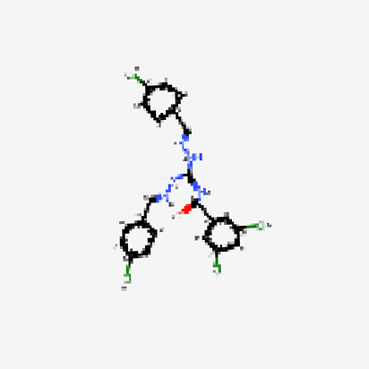 O=C(N=C(N/N=C/c1ccc(Cl)cc1)N/N=C/c1ccc(Cl)cc1)c1cc(Cl)cc(Cl)c1